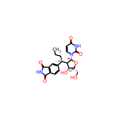 CCC[C@H](c1ccc2c(c1)C(=O)NC2=O)C1[C@H](n2ccc(=O)[nH]c2=O)O[C@H](CO)[C@H]1O